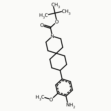 COc1cc(C2CCC3(CC2)CCN(C(=O)OC(C)(C)C)CC3)ccc1N